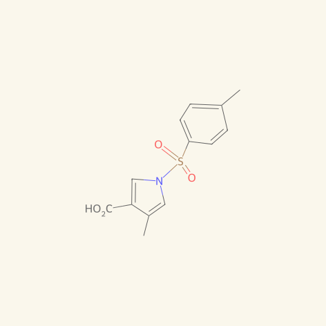 Cc1ccc(S(=O)(=O)n2cc(C)c(C(=O)O)c2)cc1